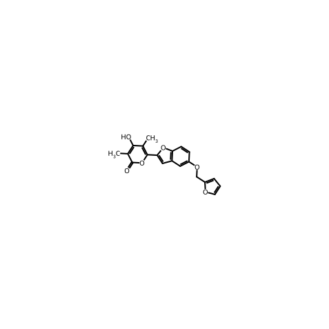 Cc1c(-c2cc3cc(OCc4ccco4)ccc3o2)oc(=O)c(C)c1O